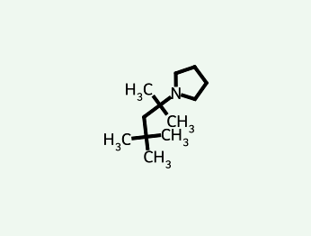 CC(C)(C)CC(C)(C)N1CCCC1